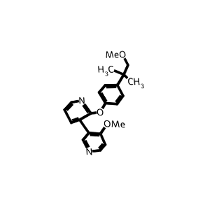 COCC(C)(C)c1ccc(Oc2ncccc2-c2cnccc2OC)cc1